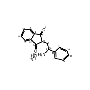 Cl.Cl.N[C@@H](CN1C(=O)c2ccccc2C1=O)c1ccccc1